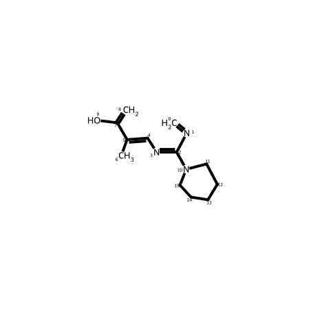 C=N/C(=N\C=C(/C)C(=C)O)N1CCCCC1